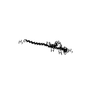 CCC=CCC=CCC=CCC=CCC=CCCCC(=O)N[C@@H](CCCCNC(=O)C=CC(=O)OC)C(=O)OC(C)(C)C